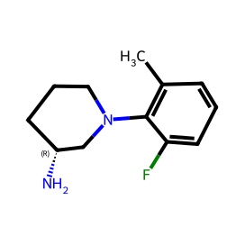 Cc1cccc(F)c1N1CCC[C@@H](N)C1